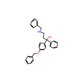 OC(CCNCc1ccccc1)(c1ccccc1)c1ccc(OCc2ccccc2)cc1